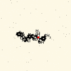 Cc1cccc([C@@H](CO)NC(=O)[C@@H](C)N2Cc3ncc(-c4nc(On5nnc6ccccc65)ncc4Cl)cc3C2=O)c1